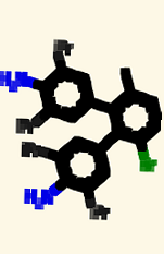 Cc1ccc(Br)c(-c2cc(C(C)C)c(N)c(C(C)C)c2)c1-c1cc(C(C)C)c(N)c(C(C)C)c1